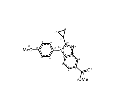 COC(=O)c1ccc2c(c1)nc(C1CC1)n2-c1ccc(OC)cc1